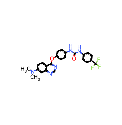 CN(C)c1ccc2c(Oc3ccc(NC(=O)Nc4ccc(C(F)(F)F)cc4)cc3)ncnc2c1